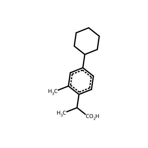 Cc1cc(C2CCCCC2)ccc1C(C)C(=O)O